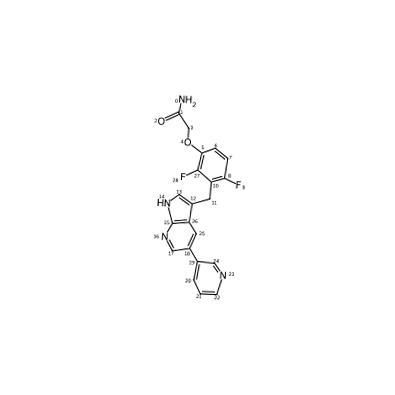 NC(=O)COc1ccc(F)c(Cc2c[nH]c3ncc(-c4cccnc4)cc23)c1F